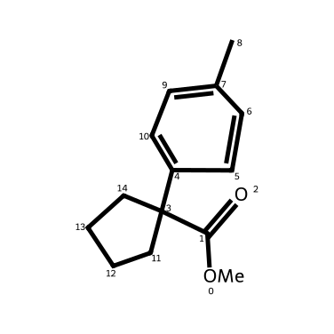 COC(=O)C1(c2ccc(C)cc2)CCCC1